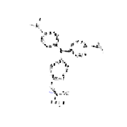 [C-]#[N+]/C(=C\c1ccc(N(c2ccc(N(C)C)cc2)c2ccc(N(C)C)cc2)cc1)C(=O)O